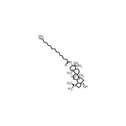 C=C(C)[C@@H]1CC[C@]2(CO)CC[C@]3(C)C(CCC4[C@@]5(C)CC[C@H](OC(=O)CCCCCCCCCCCCCCC)C(C)(C)C5CC[C@]43C)C12